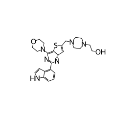 OCCN1CCN(Cc2cc3nc(-c4cccc5[nH]ccc45)nc(N4CCOCC4)c3s2)CC1